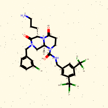 NCCC[C@H]1C(=O)N(Cc2cccc(F)c2)C[C@@H]2N(C(=O)NCc3cc(C(F)(F)F)cc(C(F)(F)F)c3)CCC(=O)N21